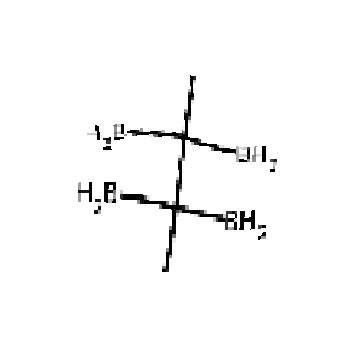 BC(B)(C)C(B)(B)C